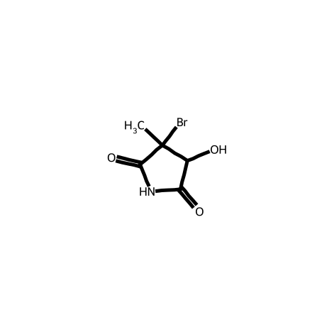 CC1(Br)C(=O)NC(=O)C1O